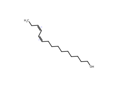 CC/C=C\C=C/CCCCCCCCCO